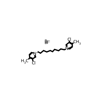 Cc1cc[n+](CCCCCCCCCC[n+]2ccc(C)c(Cl)c2)cc1Cl.[Br-].[Br-]